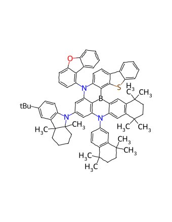 CC(C)(C)c1ccc2c(c1)C1(C)CCCCC1(C)N2c1cc2c3c(c1)N(c1cccc4oc5ccccc5c14)c1ccc4c(sc5ccccc54)c1B3c1cc3c(cc1N2c1ccc2c(c1)C(C)(C)CCC2(C)C)C(C)(C)CCC3(C)C